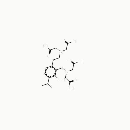 CC(C)c1ccc(CCN(CC(=O)O)CC(=O)O)c(CN(CC(=O)O)CC(=O)O)c1O